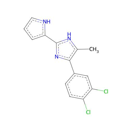 Cc1[nH]c(-c2ccc[nH]2)nc1-c1ccc(Cl)c(Cl)c1